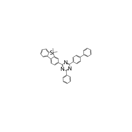 C[Si]1(C)c2ccccc2-c2ccc(-c3nc(-c4ccccc4)nc(-c4ccc(-c5ccccc5)cc4)n3)cc21